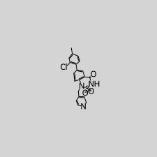 Cc1ccc(-c2ccc3c(c2)C(=O)NS(=O)(=O)N3Cc2ccncc2)c(Cl)c1